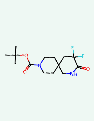 CC(C)(C)OC(=O)N1CCC2(CC1)CNC(=O)C(F)(F)C2